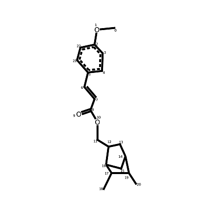 COc1ccc(/C=C/C(=O)OCC2CC3CC2C(C)C3C)cc1